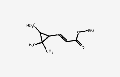 CC(C)(C)OC(=O)C=CC1C(C(=O)O)C1(C)C